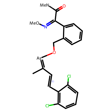 CNC(=O)C(=NOC)c1ccccc1CO[As]=C(C)/C=C/c1c(Cl)cccc1Cl